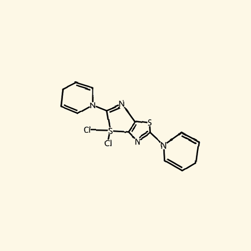 ClS1(Cl)C(N2C=CCC=C2)=Nc2sc(N3C=CCC=C3)nc21